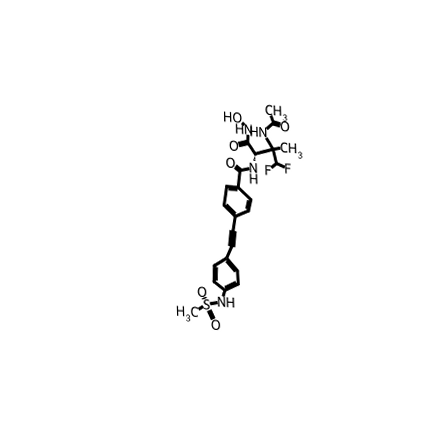 CC(=O)NC(C)(C(F)F)[C@H](NC(=O)c1ccc(C#Cc2ccc(NS(C)(=O)=O)cc2)cc1)C(=O)NO